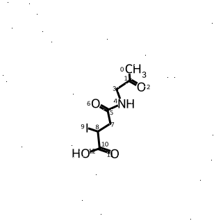 CC(=O)CNC(=O)CC(I)C(=O)O